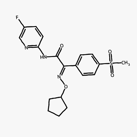 CS(=O)(=O)c1ccc(/C(=N\OC2CCCC2)C(=O)Nc2ccc(F)cn2)cc1